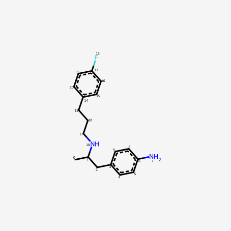 CC(Cc1ccc(N)cc1)NCCCc1ccc(F)cc1